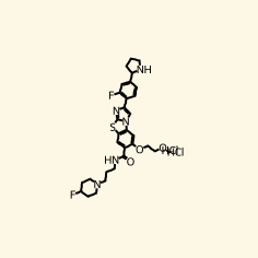 COCCOc1cc2c(cc1C(=O)NCCCN1CCC(F)CC1)sc1nc(-c3ccc(C4CCCN4)cc3F)cn12.Cl.Cl